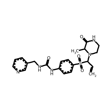 C=CC(N1CCNC(=O)C1C)S(=O)(=O)c1ccc(NC(=O)NCc2cccnc2)cc1